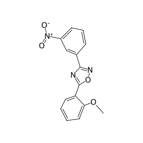 COc1ccccc1-c1nc(-c2cccc([N+](=O)[O-])c2)no1